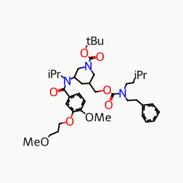 COCCCOc1cc(C(=O)N(C(C)C)C2CC(COC(=O)N(CCc3ccccc3)CCC(C)C)CN(C(=O)OC(C)(C)C)C2)ccc1OC